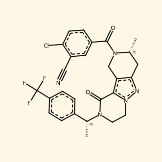 C[C@@H]1Cc2nn3c(c2CN1C(=O)c1ccc(Cl)c(C#N)c1)C(=O)N([C@H](C)c1ccc(C(F)(F)F)cc1)CC3